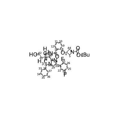 CC(C)(C)OC(=O)N1CC(Oc2ccccc2C(=O)N[C@@H](c2nc(-c3cc(F)ccc3F)cn2Cc2ccccc2)C(C)(C)CCO)C1